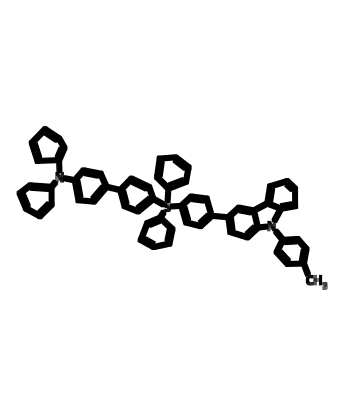 Cc1ccc(-n2c3ccccc3c3cc(-c4ccc(S(c5ccccc5)(c5ccccc5)c5ccc(-c6ccc(N(c7ccccc7)c7ccccc7)cc6)cc5)cc4)ccc32)cc1